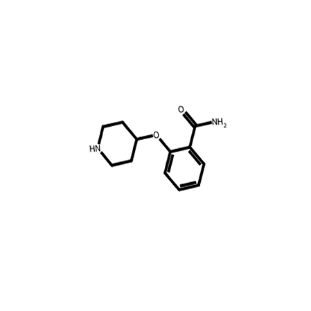 NC(=O)c1ccccc1OC1CCNCC1